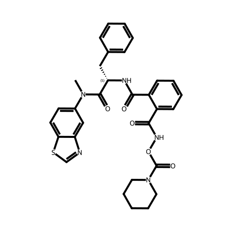 CN(C(=O)[C@H](Cc1ccccc1)NC(=O)c1ccccc1C(=O)NOC(=O)N1CCCCC1)c1ccc2scnc2c1